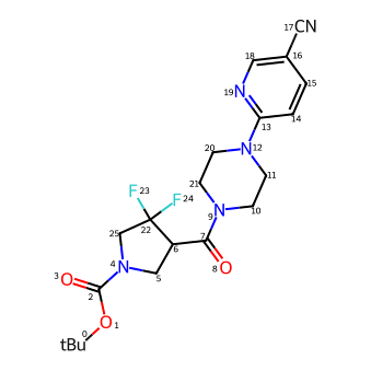 CC(C)(C)OC(=O)N1CC(C(=O)N2CCN(c3ccc(C#N)cn3)CC2)C(F)(F)C1